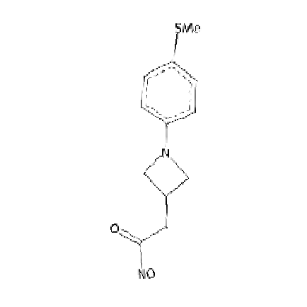 CSc1ccc(N2CC(CC(=O)N=O)C2)cc1